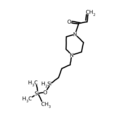 C=CC(=O)N1CCN(CCC[SiH2]O[Si](C)(C)C)CC1